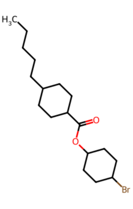 CCCCCC1CCC(C(=O)OC2CCC(Br)CC2)CC1